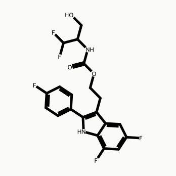 O=C(NC(CO)C(F)F)OCCc1c(-c2ccc(F)cc2)[nH]c2c(F)cc(F)cc12